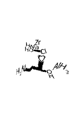 NCC(=O)O.OCl.[AlH3].[NaH].[Zr]